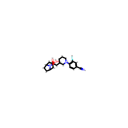 N#Cc1ccc(N2CCCC(CC(=O)N3C4CCC3CC(O)C4)C2)c(F)c1